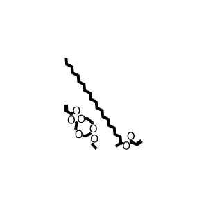 C=CC(=O)OC(C)CCCCCCCCCCCCCCCCCCC.C=CC(=O)OC1COCC(OCC)OCCO1